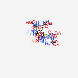 CCCC(C(=O)C(C)C(SC[C@H](NC(=O)CC[C@@H](N)C(=O)O)C(=O)NCC(=O)O)c1ncc(O)c(N)n1)C(SC[C@H](NC(=O)CC[C@H](N)C(=O)O)C(=O)NCC(=O)O)c1cc(O)nc(N)n1